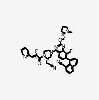 CN1CCC[C@H]1COc1nc(N2CCN(C(=O)/C(F)=C/c3ccccn3)[C@@H](CC#N)C2)c2ccc(-c3cccc4cccc(C#N)c34)c(F)c2n1